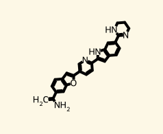 C=C(N)c1ccc2cc(-c3ccc(-c4cc5ccc(C6=NCCCN6)cc5[nH]4)nc3)oc2c1